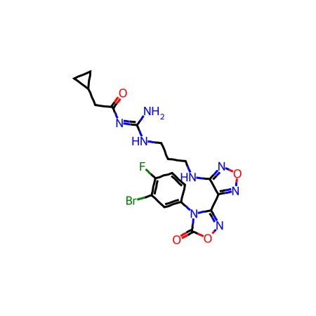 N/C(=N\C(=O)CC1CC1)NCCCNc1nonc1-c1noc(=O)n1-c1ccc(F)c(Br)c1